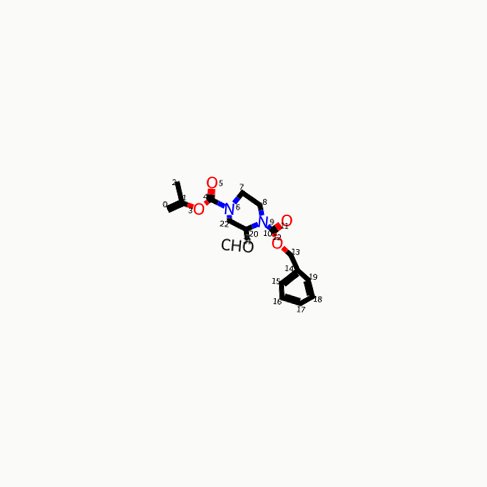 C=C(C)OC(=O)N1CCN(C(=O)OCc2ccccc2)C(C=O)C1